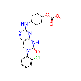 COC(=O)OC1CCC(Nc2ncc3c(n2)NC(=O)N(c2ccccc2Cl)C3)CC1